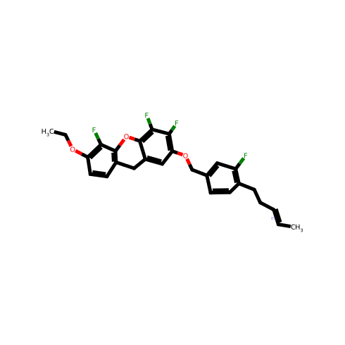 C/C=C/CCc1ccc(COc2cc3c(c(F)c2F)Oc2c(ccc(OCC)c2F)C3)cc1F